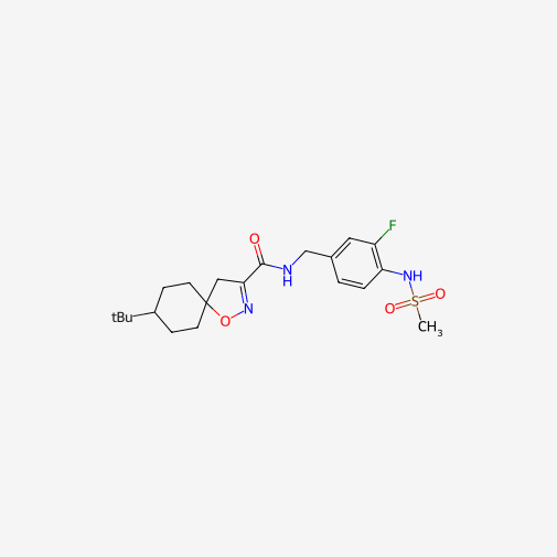 CC(C)(C)C1CCC2(CC1)CC(C(=O)NCc1ccc(NS(C)(=O)=O)c(F)c1)=NO2